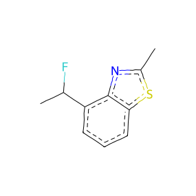 Cc1nc2c(C(C)F)cccc2s1